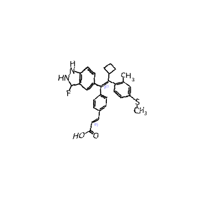 CSc1ccc(/C(=C(\c2ccc(/C=C/C(=O)O)cc2)c2ccc3c(c2)C(F)NN3)C2CCC2)c(C)c1